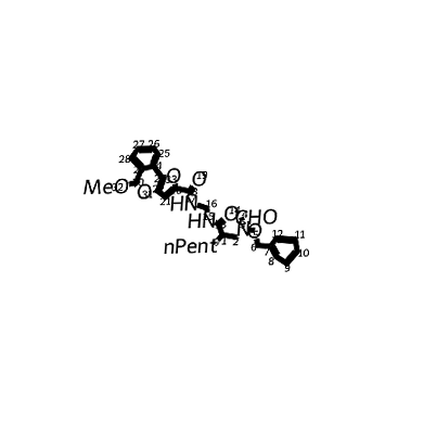 CCCCCC(CN(C=O)OCc1ccccc1)C(=O)NCNC(=O)c1ccc(-c2ccccc2C(=O)OC)o1